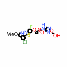 COc1cnc2c(-c3nc4cc(F)c(OC5CCC5OC(=O)Nc5cnc(OCCO)nc5)cc4s3)cc(Cl)cc2c1